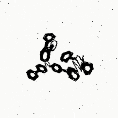 c1ccc(-c2ccc(N(c3ccc(-c4cccc(-n5c(-c6ccccc6)nc6ccccc65)c4)cc3)c3ccc4c(c3)oc3ccccc34)cc2)cc1